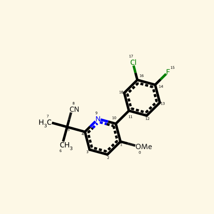 COc1ccc(C(C)(C)C#N)nc1-c1ccc(F)c(Cl)c1